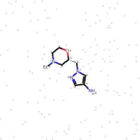 CCN1CCO[C@H](Cn2cc(N)cn2)C1